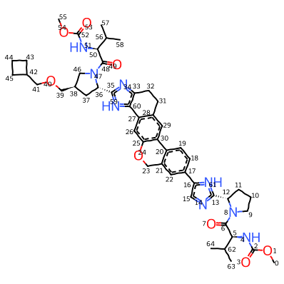 COC(=O)N[C@H](C(=O)N1CCC[C@H]1c1ncc(-c2ccc3c(c2)COc2cc4c(cc2-3)CCc2nc([C@@H]3C[C@@H](COCC5CCC5)CN3C(=O)[C@@H](NC(=O)OC)C(C)C)[nH]c2-4)[nH]1)C(C)C